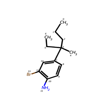 CCCC(C)(CC)c1ccc(N)c(Br)c1